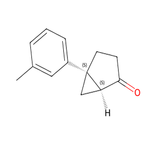 Cc1cccc([C@]23CCC(=O)[C@H]2C3)c1